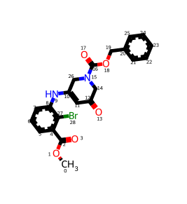 COC(=O)c1cccc(NC2=CC(=O)CN(C(=O)OCc3ccccc3)C2)c1Br